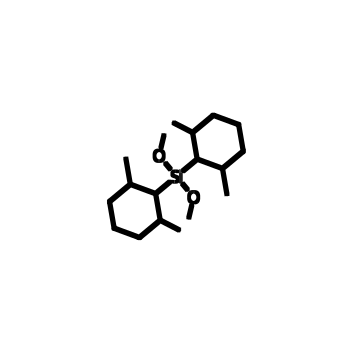 CO[Si](OC)(C1C(C)CCCC1C)C1C(C)CCCC1C